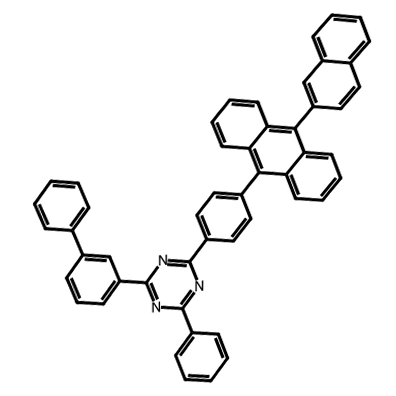 c1ccc(-c2cccc(-c3nc(-c4ccccc4)nc(-c4ccc(-c5c6ccccc6c(-c6ccc7ccccc7c6)c6ccccc56)cc4)n3)c2)cc1